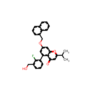 CC(C)c1cc(=O)c2c(-c3cccc(CO)c3F)cc(OCc3cccc4ccccc34)cc2o1